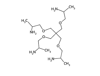 CC(N)COCC(COCC(C)N)(COCC(C)N)COCC(C)N